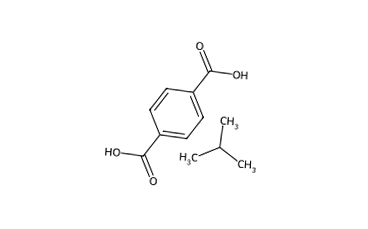 CC(C)C.O=C(O)c1ccc(C(=O)O)cc1